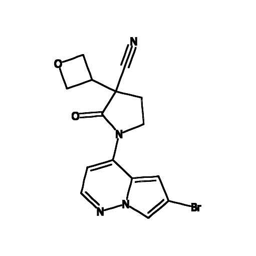 N#CC1(C2COC2)CCN(c2ccnn3cc(Br)cc23)C1=O